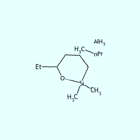 CCC1CCC[Si](C)(C)O1.CCCC.[AlH3]